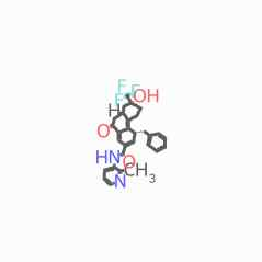 Cc1ncccc1NC(=O)C1=C[C@@H](Cc2ccccc2)C2=C3CC[C@](O)(C(F)(F)F)C[C@H]3CC(=O)C2=C1